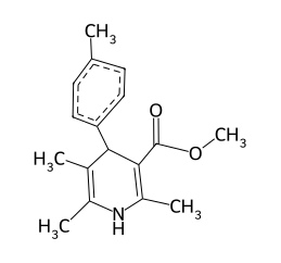 COC(=O)C1=C(C)NC(C)=C(C)C1c1ccc(C)cc1